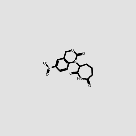 O=C1CCCC(N2C(=O)OCc3cc([N+](=O)[O-])ccc32)C(=O)N1